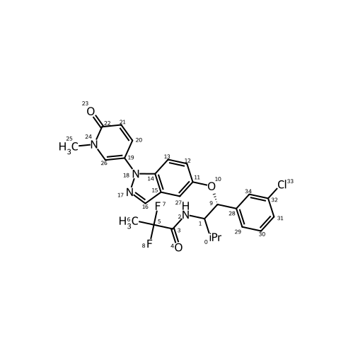 CC(C)C(NC(=O)C(C)(F)F)[C@H](Oc1ccc2c(cnn2-c2ccc(=O)n(C)c2)c1)c1cccc(Cl)c1